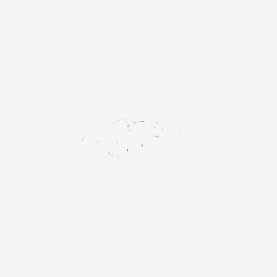 CCC=Cc1nc(C(F)(F)CCC)nn1Cc1ccc(-c2ccccc2-c2nnn[nH]2)cc1